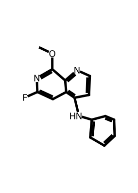 COc1nc(F)cc2c(Nc3ccccc3)ccnc12